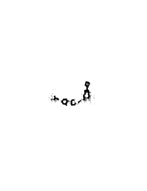 Nc1nc(NCCN2CCN(c3ccc(OCc4nnc[nH]4)cc3F)CC2)nc2cc(-c3ccco3)nn12